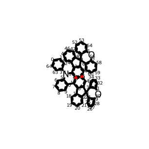 c1ccc(N(c2ccccc2-c2cccc3c2-c2ccccc2C32c3ccccc3Oc3ccccc32)c2cccc3c2-c2ccccc2C32c3ccccc3Oc3ccccc32)cc1